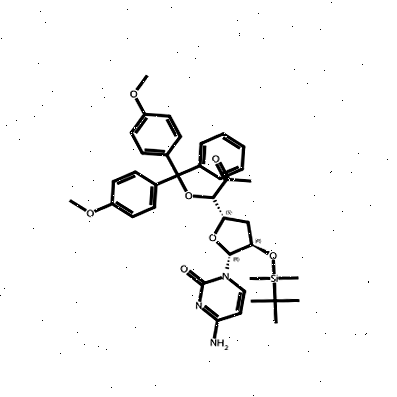 COc1ccc(C(OC(C(C)=O)[C@@H]2C[C@@H](O[Si](C)(C)C(C)(C)C)[C@H](n3ccc(N)nc3=O)O2)(c2ccccc2)c2ccc(OC)cc2)cc1